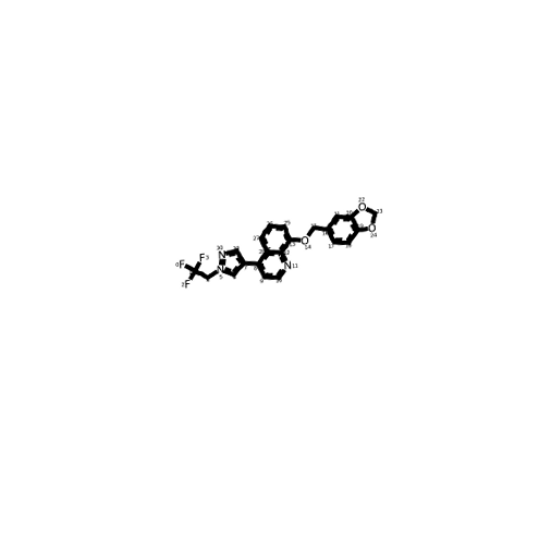 FC(F)(F)Cn1cc(-c2ccnc3c(OCc4ccc5c(c4)OCO5)cccc23)cn1